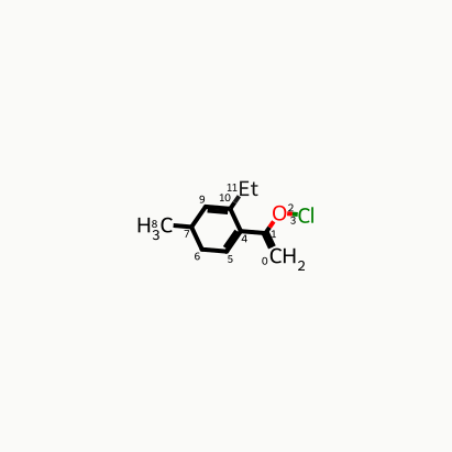 C=C(OCl)C1=CCC(C)C=C1CC